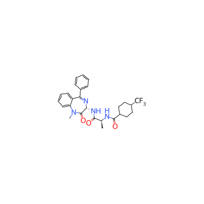 C[C@H](NC(=O)C1CCC(C(F)(F)F)CC1)C(=O)N[C@H]1N=C(c2ccccc2)c2ccccc2N(C)C1=O